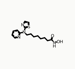 O=C(CCCCCCCN(c1ccccn1)c1nccs1)NO